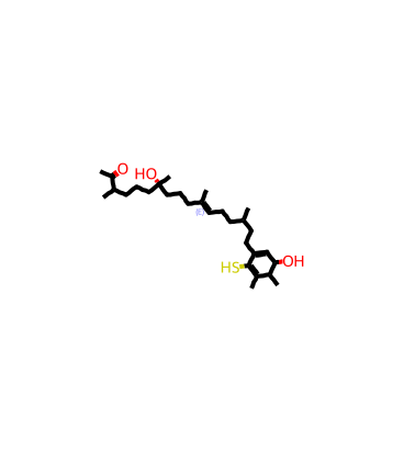 CC(=O)C(C)CCCC(C)(O)CCC/C(C)=C/CCC(C)CCC1=CC(O)C(C)C(C)=C1S